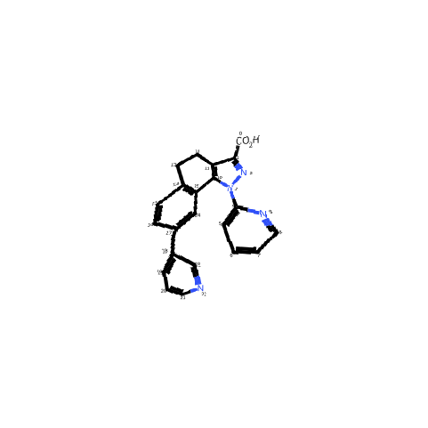 O=C(O)c1nn(-c2ccccn2)c2c1CCc1ccc(-c3cccnc3)cc1-2